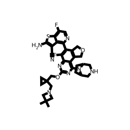 CC1(C)CN(CC2(COc3nc(N4C5CCC4CNC5)c4c5c(c(-c6ncc(F)c7sc(N)c(C#N)c67)c(F)c4n3)COC5)CC2)C1